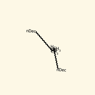 CCCCCCCCCCCCCCCCCCCCCCCCCCCCCC[SiH](C)O[Si](C)([O])CCCCCCCCCCCCCCCCCCCCCCCCCC